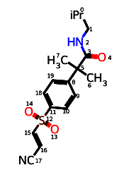 CC(C)CNC(=O)C(C)(C)c1ccc(S(=O)(=O)C=CC#N)cc1